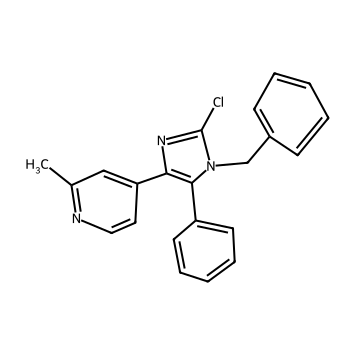 Cc1cc(-c2nc(Cl)n(Cc3ccccc3)c2-c2ccccc2)ccn1